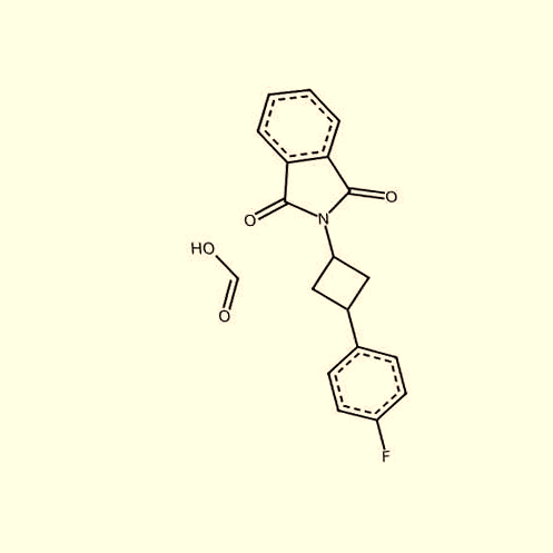 O=C1c2ccccc2C(=O)N1C1CC(c2ccc(F)cc2)C1.O=CO